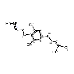 O/N=C/COc1c(Cl)cc(OCC=C(Cl)Cl)cc1Cl